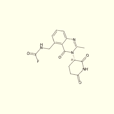 Cc1nc2cccc(CNC(=O)F)c2c(=O)n1[C@H]1CCC(=O)NC1=O